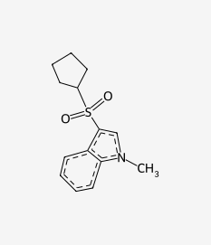 Cn1cc(S(=O)(=O)C2CCCC2)c2ccccc21